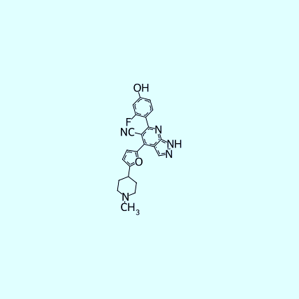 CN1CCC(c2ccc(-c3c(C#N)c(-c4ccc(O)cc4F)nc4[nH]ncc34)o2)CC1